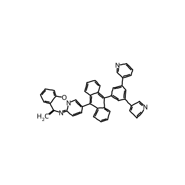 C=C1N=C2C=CC(c3c4ccccc4c(-c4cc(-c5cccnc5)cc(-c5cccnc5)c4)c4ccccc34)=CN2Oc2ccccc21